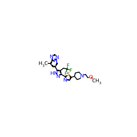 COCCN1CCC(c2cnc(-c3n[nH]c(-c4cc(C)c5ncnn5c4)c3CC(F)(F)F)s2)CC1